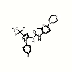 Cc1ccc(-n2nc(C(F)(F)C(F)(F)F)cc2NC(=O)Nc2ccc(N3CCNCC3)nc2C)cc1